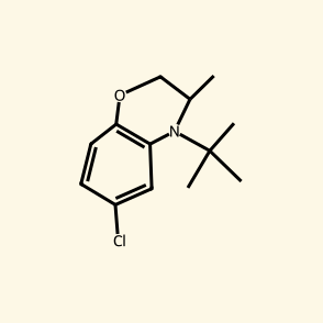 CC1COc2ccc(Cl)cc2N1C(C)(C)C